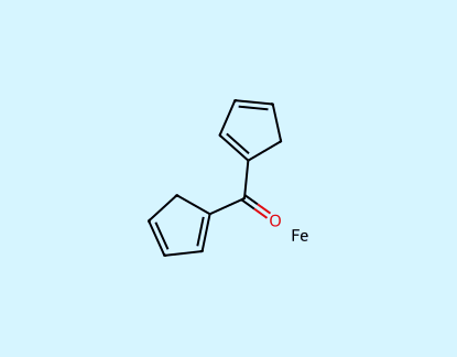 O=C(C1=CC=CC1)C1=CC=CC1.[Fe]